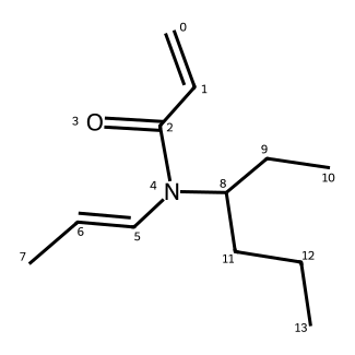 C=CC(=O)N(/C=C/C)C(CC)CCC